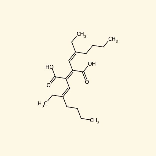 CCCCC(=CC(C(=O)O)=C(C=C(CC)CCCC)C(=O)O)CC